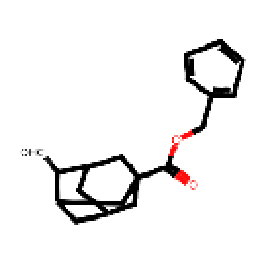 O=CC1C2CC3CC1CC(C(=O)OCc1ccccc1)(C3)C2